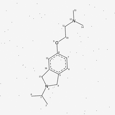 CC(C)N1Cc2ccc(OCCN(C)C)cc2C1